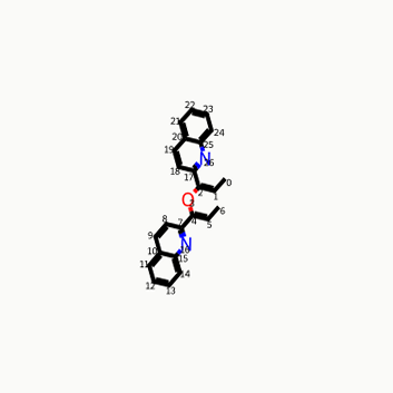 CC=C(OC(=CC)c1ccc2ccccc2n1)c1ccc2ccccc2n1